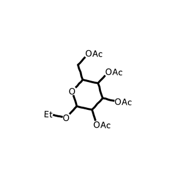 CCOC1OC(COC(C)=O)C(OC(C)=O)C(OC(C)=O)C1OC(C)=O